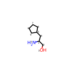 NC(CO)CC1CCCC1